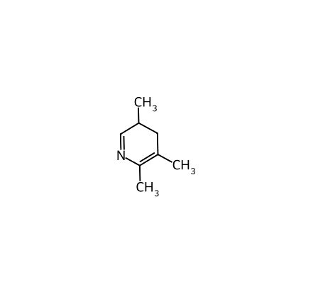 CC1=C(C)N=CC(C)C1